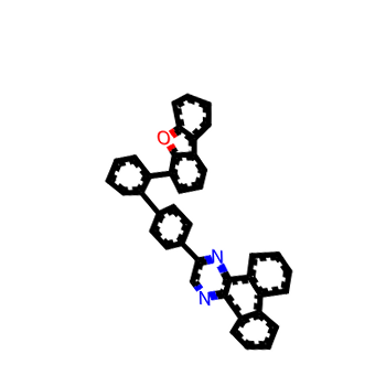 c1ccc(-c2cccc3c2oc2ccccc23)c(-c2ccc(-c3cnc4c5ccccc5c5ccccc5c4n3)cc2)c1